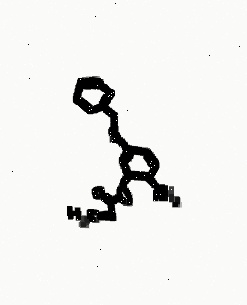 C=CC(=O)Oc1cc(SCc2ccccc2)ccc1N